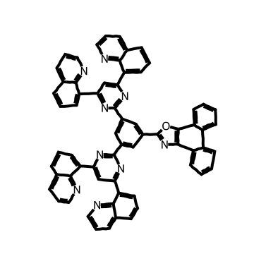 c1cnc2c(-c3cc(-c4cccc5cccnc45)nc(-c4cc(-c5nc(-c6cccc7cccnc67)cc(-c6cccc7cccnc67)n5)cc(-c5nc6c7ccccc7c7ccccc7c6o5)c4)n3)cccc2c1